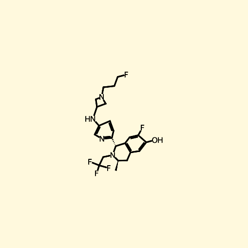 C[C@@H]1Cc2cc(O)c(F)cc2[C@@H](c2ccc(NC3CN(CCCF)C3)cn2)N1CC(F)(F)F